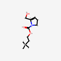 C[Si](C)(C)CCOC(=O)N1CCC=C1CO